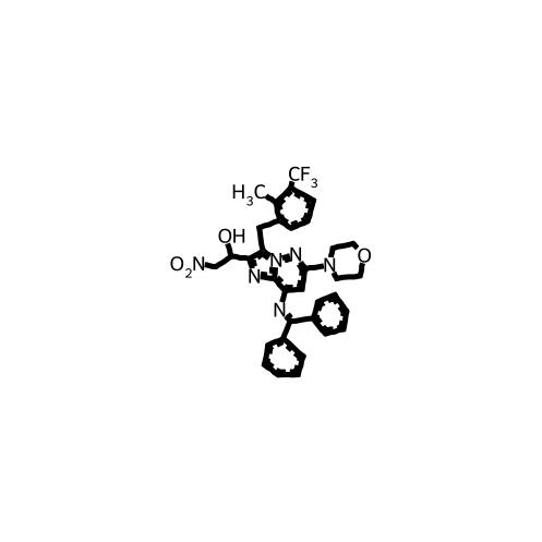 Cc1c(Cc2c(C(O)C[N+](=O)[O-])nc3c(N=C(c4ccccc4)c4ccccc4)cc(N4CCOCC4)nn23)cccc1C(F)(F)F